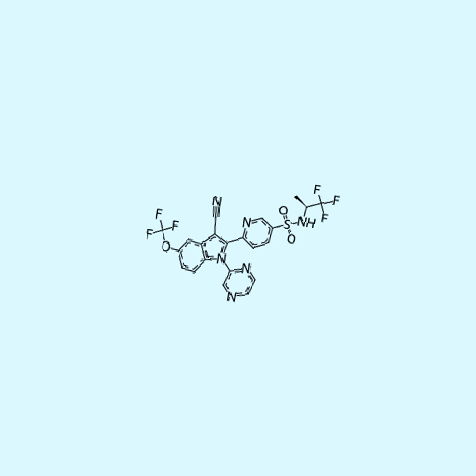 C[C@H](NS(=O)(=O)c1ccc(-c2c(C#N)c3cc(OC(F)(F)F)ccc3n2-c2cnccn2)nc1)C(F)(F)F